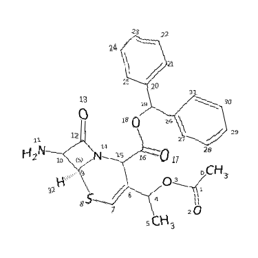 CC(=O)OC(C)C1=CS[C@H]2C(N)C(=O)N2C1C(=O)OC(c1ccccc1)c1ccccc1